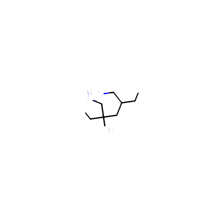 CCC(CN)CC(C)(CC)CC